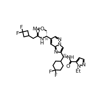 CCn1nccc1C(=O)N[C@H](c1cn2ncc([C@@H](COC)NC(=O)CC3CC(F)(F)C3)cc2n1)C1CCC(F)(F)CC1